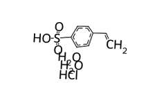 C=Cc1ccc(S(=O)(=O)O)cc1.Cl.O.O